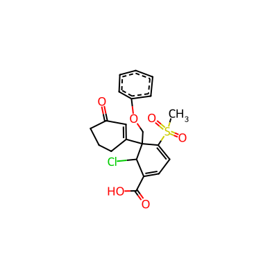 CS(=O)(=O)C1=CC=C(C(=O)O)C(Cl)C1(COc1ccccc1)C1=CC(=O)CCC1